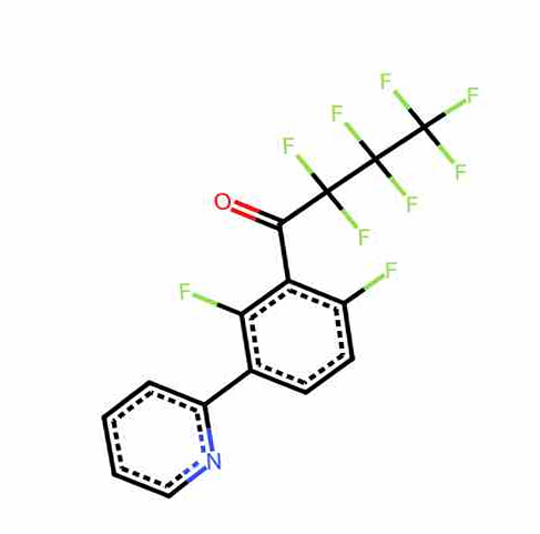 O=C(c1c(F)ccc(-c2ccccn2)c1F)C(F)(F)C(F)(F)C(F)(F)F